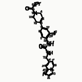 CC(C)C(=O)N1CC=C(c2ccc(NC(=O)NCc3ccn4ccnc4c3)c(F)c2)CC1